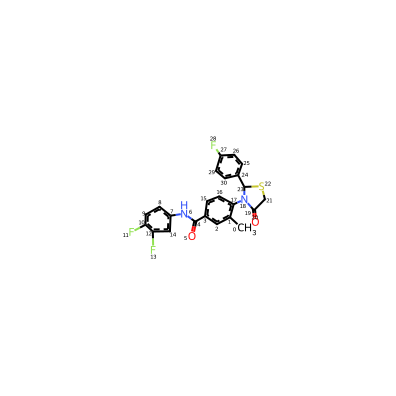 Cc1cc(C(=O)Nc2ccc(F)c(F)c2)ccc1N1C(=O)CSC1c1ccc(F)cc1